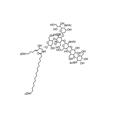 CCCCCCCCCCCCC/C=C/[C@@H](O)[C@H](CO[C@@H]1OC(CO)[C@@H](O[C@@H]2OC(CO)[C@H](O[C@@H]3OC(CO)[C@H](O)[C@H](O[C@@H]4OC(CO)[C@H](O[C@@H]5OC(CO)[C@H](O)[C@H](O)C5NC(C)=O)[C@H](O)C4O)C3NC(C)=O)[C@H](O[C@]3(C(=O)O)CC(O)[C@@H](NC(C)=O)C([C@H](O)[C@H](O)CO)O3)C2O)[C@H](O)C1O)NC(=O)CCCCCCCCCCCCCCCCCCCCCCCCC